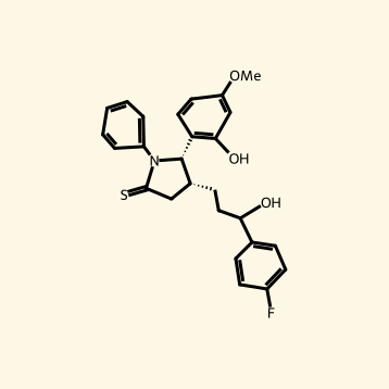 COc1ccc([C@@H]2[C@H](CCC(O)c3ccc(F)cc3)CC(=S)N2c2ccccc2)c(O)c1